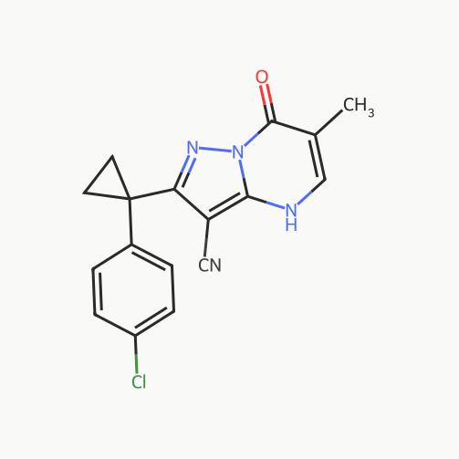 Cc1c[nH]c2c(C#N)c(C3(c4ccc(Cl)cc4)CC3)nn2c1=O